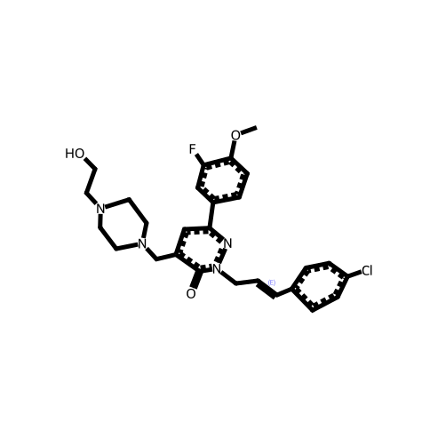 COc1ccc(-c2cc(CN3CCN(CCO)CC3)c(=O)n(C/C=C/c3ccc(Cl)cc3)n2)cc1F